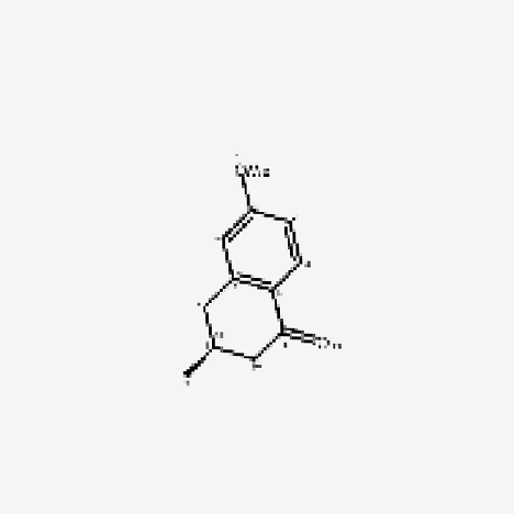 COc1ccc2c(c1)C[C@H](C)CC2=O